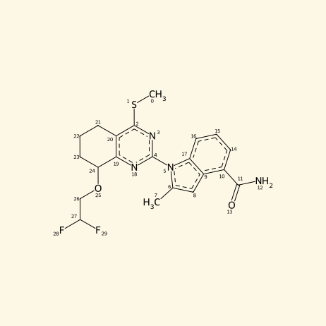 CSc1nc(-n2c(C)cc3c(C(N)=O)cccc32)nc2c1CCCC2OCC(F)F